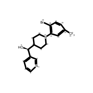 O[C@H](c1cccnc1)C1CCN(c2cc(C(F)(F)F)ccc2Br)CC1